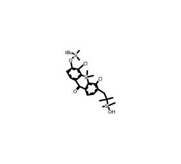 CC(C)(Cc1ccc2c(c1Cl)[Si](C)(C)c1c(ccc(O[Si](C)(C)C(C)(C)C)c1Cl)C2=O)[Si](C)(C)O